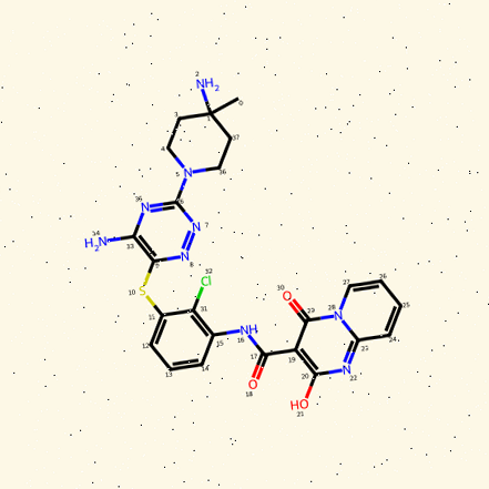 CC1(N)CCN(c2nnc(Sc3cccc(NC(=O)c4c(O)nc5ccccn5c4=O)c3Cl)c(N)n2)CC1